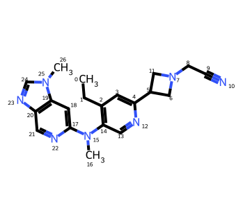 CCc1cc(C2CN(CC#N)C2)ncc1N(C)c1cc2c(cn1)ncn2C